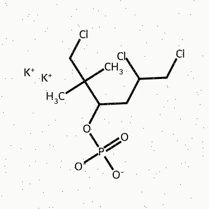 CC(C)(CCl)C(CC(Cl)CCl)OP(=O)([O-])[O-].[K+].[K+]